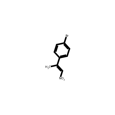 CC(=C[N+](=O)[O-])c1ccc(Br)cc1